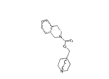 O=C(OCC12CCN(CC1)CC2)N1CCc2ccccc2C1